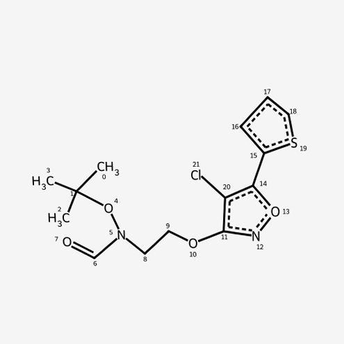 CC(C)(C)ON(C=O)CCOc1noc(-c2cccs2)c1Cl